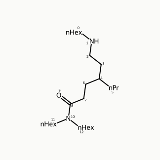 CCCCCCNCCC(CCC)CCC(=O)N(CCCCCC)CCCCCC